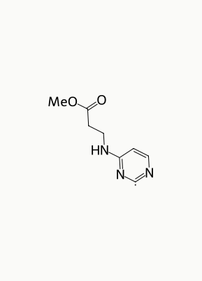 COC(=O)CCNc1ccn[c]n1